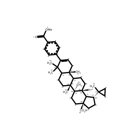 COC(=O)c1ccc(C2=CC[C@@]3(C)C(CC[C@]4(C)C3CC[C@@H]3C5[C@H](C6(C)CC6)CC[C@]5(C(=O)O)CC[C@]34C)C2(C)C)cc1